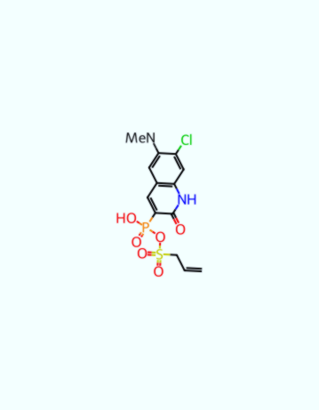 C=CCS(=O)(=O)OP(=O)(O)c1cc2cc(NC)c(Cl)cc2[nH]c1=O